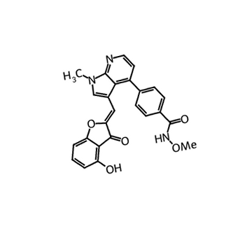 CONC(=O)c1ccc(-c2ccnc3c2c(C=C2Oc4cccc(O)c4C2=O)cn3C)cc1